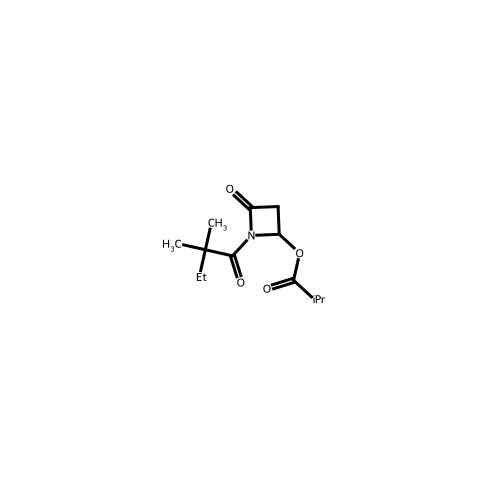 CCC(C)(C)C(=O)N1C(=O)CC1OC(=O)C(C)C